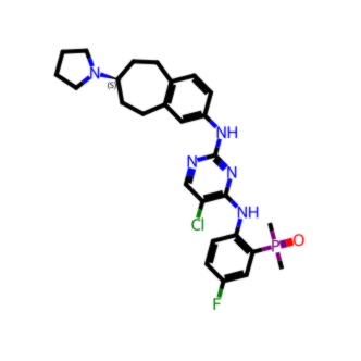 CP(C)(=O)c1cc(F)ccc1Nc1nc(Nc2ccc3c(c2)CC[C@@H](N2CCCC2)CC3)ncc1Cl